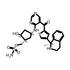 C[C@@]1(c2csc(C(=O)c3cncnc3N[C@@H]3C[C@H](COS(N)(=O)=O)[C@@H](O)C3)c2)NCCc2ccccc21